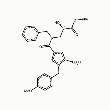 CCCCOC(=O)[C@H](O)CN(Cc1ccccc1)C(=O)c1cc(C(=O)O)n(Cc2ccc(OC)cc2)n1